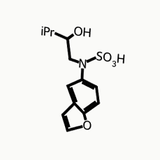 CC(C)C(O)CN(c1ccc2occc2c1)S(=O)(=O)O